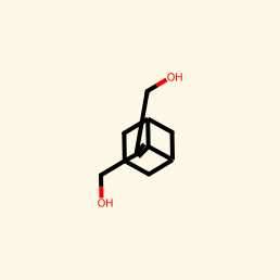 OCC1=C2C3CC2CC(CO)(C1)C3